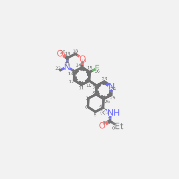 CCC(=O)N[C@@H]1CCCc2c(-c3ccc4c(c3F)OCC(=O)N4C)cncc21